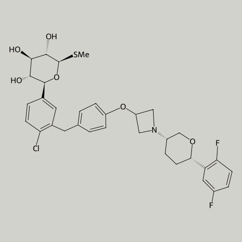 CS[C@H]1O[C@@H](c2ccc(Cl)c(Cc3ccc(OC4CN([C@H]5CC[C@@H](c6cc(F)ccc6F)OC5)C4)cc3)c2)[C@H](O)[C@@H](O)[C@@H]1O